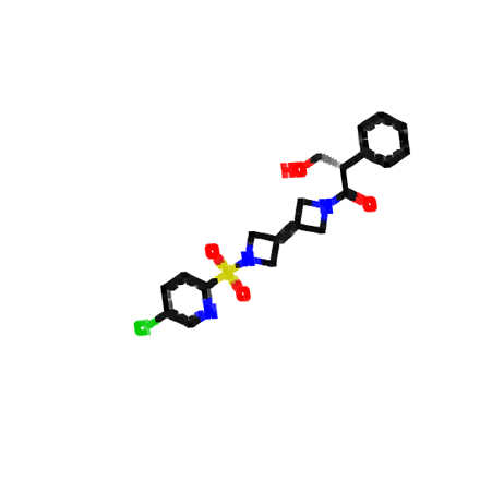 O=C([C@H](CO)c1ccccc1)N1CC(=C2CN(S(=O)(=O)c3ccc(Cl)cn3)C2)C1